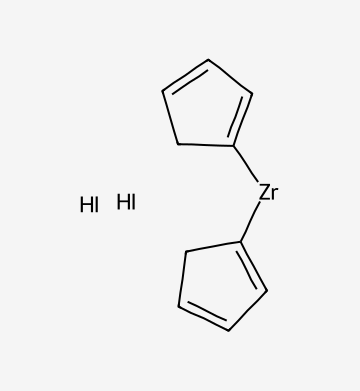 C1=CC[C]([Zr][C]2=CC=CC2)=C1.I.I